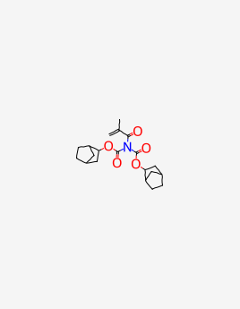 C=C(C)C(=O)N(C(=O)OC1CC2CCC1C2)C(=O)OC1CC2CCC1C2